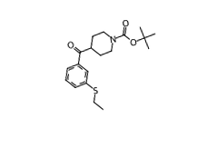 CCSc1cccc(C(=O)C2CCN(C(=O)OC(C)(C)C)CC2)c1